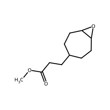 COC(=O)CCC1CCC2OC2CC1